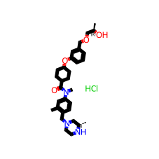 Cc1cc(N(C)C(=O)C2CCC(Oc3cccc(COC[C@@H](C)O)c3)CC2)ccc1CN1CCN[C@@H](C)C1.Cl